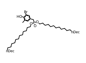 CCCCCCCCCCCCCCCCCCCCCCOP(=O)(Cc1cc(C)c(O)c(Br)c1)OCCCCCCCCCCCCCCCCCCCCCC